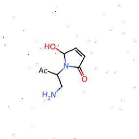 CC(=O)C(CN)N1C(=O)C=CC1O